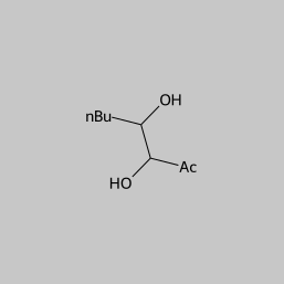 CCCCC(O)C(O)C(C)=O